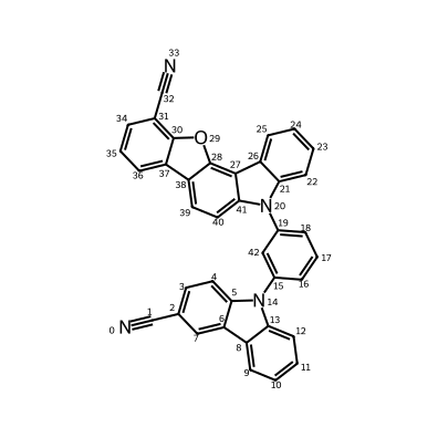 N#Cc1ccc2c(c1)c1ccccc1n2-c1cccc(-n2c3ccccc3c3c4oc5c(C#N)cccc5c4ccc32)c1